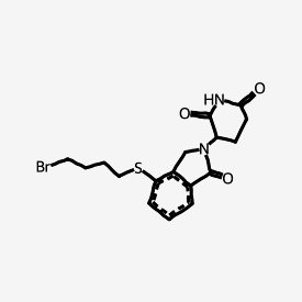 O=C1CCC(N2Cc3c(SCCCCBr)cccc3C2=O)C(=O)N1